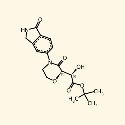 CC(C)(C)OC(=O)[C@H](O)[C@H]1OCCN(c2ccc3c(c2)CNC3=O)C1=O